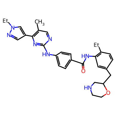 CCc1ccc(CC2CNCCO2)cc1NC(=O)c1ccc(Nc2ncc(C)c(-c3cnn(CC)c3)n2)cc1